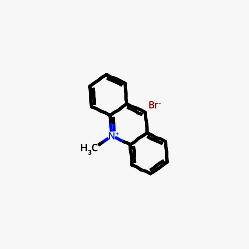 C[n+]1c2ccccc2cc2ccccc21.[Br-]